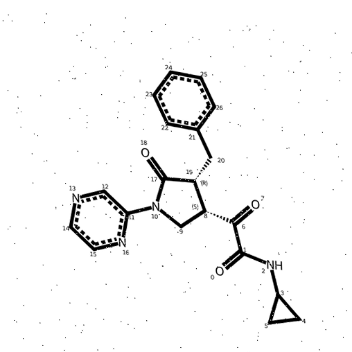 O=C(NC1CC1)C(=O)[C@@H]1CN(c2cnccn2)C(=O)[C@@H]1Cc1ccccc1